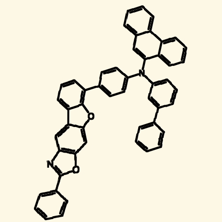 c1ccc(-c2cccc(N(c3ccc(-c4cccc5c4oc4cc6oc(-c7ccccc7)nc6cc45)cc3)c3cc4ccccc4c4ccccc34)c2)cc1